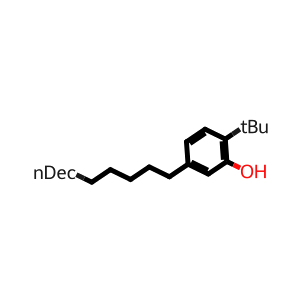 CCCCCCCCCCCCCCCc1ccc(C(C)(C)C)c(O)c1